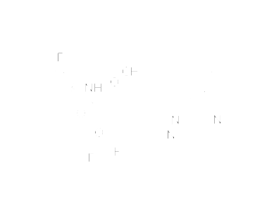 COc1cc(-c2cnn3cc(C4(C#N)CCC4)ccc23)cc(OC(F)F)c1C(=O)N[C@@H]1C[C@@H]1F